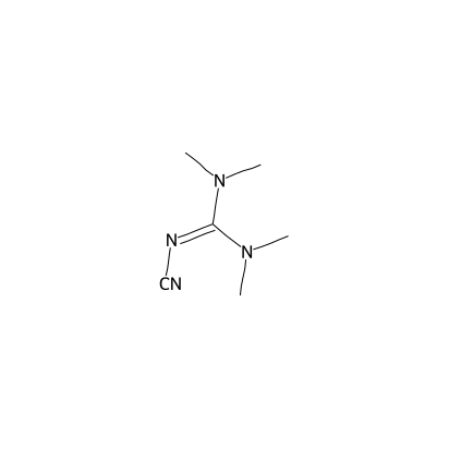 CN(C)C(=NC#N)N(C)C